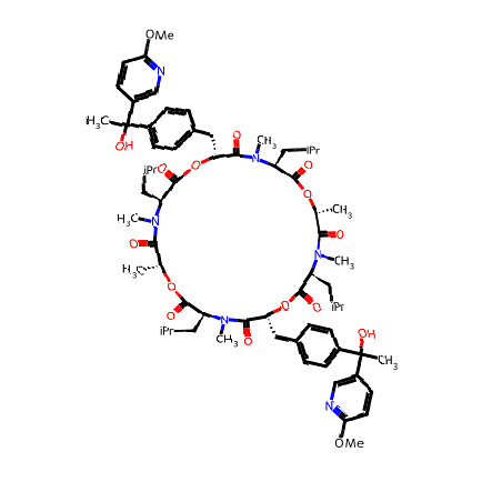 COc1ccc(C(C)(O)c2ccc(C[C@H]3OC(=O)[C@H](CC(C)C)N(C)C(=O)[C@@H](C)OC(=O)[C@H](CC(C)C)N(C)C(=O)[C@@H](Cc4ccc(C(C)(O)c5ccc(OC)nc5)cc4)OC(=O)[C@H](CC(C)C)N(C)C(=O)[C@@H](C)OC(=O)[C@H](CC(C)C)N(C)C3=O)cc2)cn1